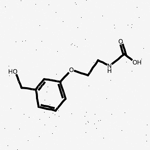 O=C(O)NCCOc1cccc(CO)c1